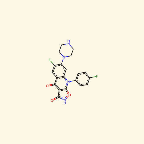 O=c1[nH]oc2c1c(=O)c1cc(F)c(N3CCNCC3)cc1n2-c1ccc(F)cc1